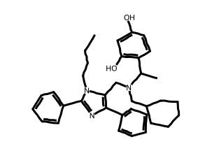 CCCCn1c(-c2ccccc2)nc(-c2ccccc2)c1CN(CC1CCCCC1)C(C)c1ccc(O)cc1O